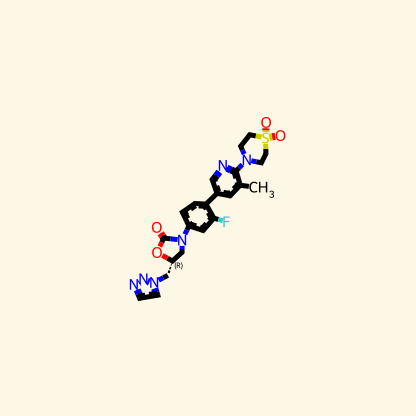 Cc1cc(-c2ccc(N3C[C@H](Cn4ccnn4)OC3=O)cc2F)cnc1N1CCS(=O)(=O)CC1